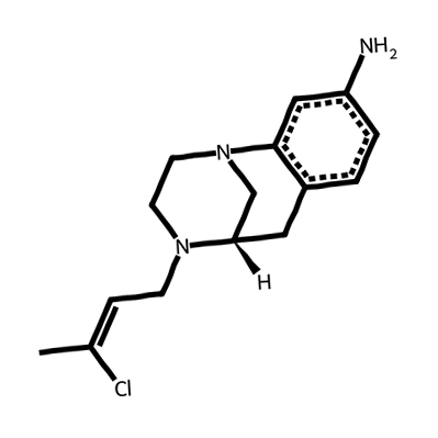 CC(Cl)=CCN1CCN2C[C@@H]1Cc1ccc(N)cc12